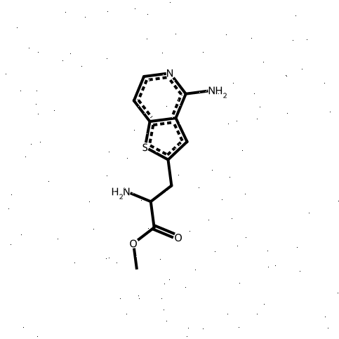 COC(=O)C(N)Cc1cc2c(N)nccc2s1